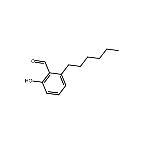 CCCCCCc1cccc(O)c1C=O